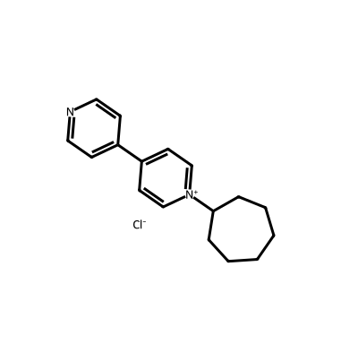 [Cl-].c1cc(-c2cc[n+](C3CCCCCC3)cc2)ccn1